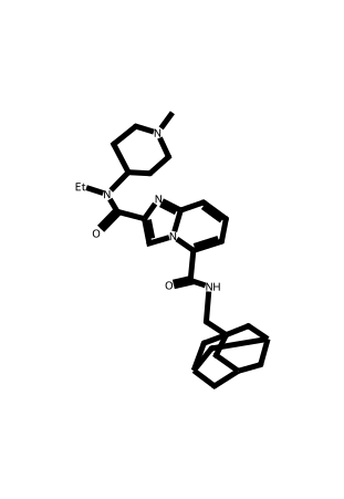 CCN(C(=O)c1cn2c(C(=O)NCC34CC5CC(CC(C5)C3)C4)cccc2n1)C1CCN(C)CC1